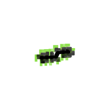 FC(=C(F)C(F)(F)C(F)(F)C(F)(F)F)C(F)(F)C(F)(F)F